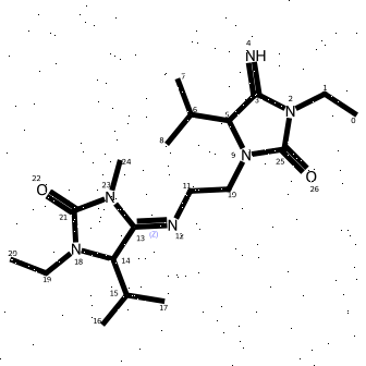 CCN1C(=N)C(C(C)C)N(CC/N=C2/C(C(C)C)N(CC)C(=O)N2C)C1=O